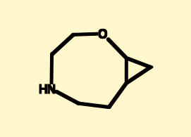 C1COC2CC2CCN1